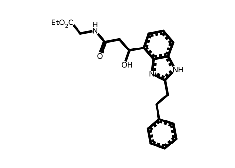 CCOC(=O)CNC(=O)CC(O)c1cccc2[nH]c(CCc3ccccc3)nc12